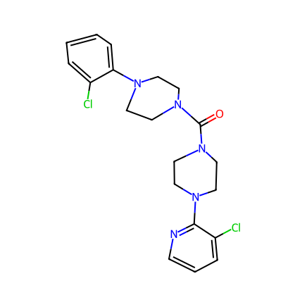 O=C(N1CCN(c2ccccc2Cl)CC1)N1CCN(c2ncccc2Cl)CC1